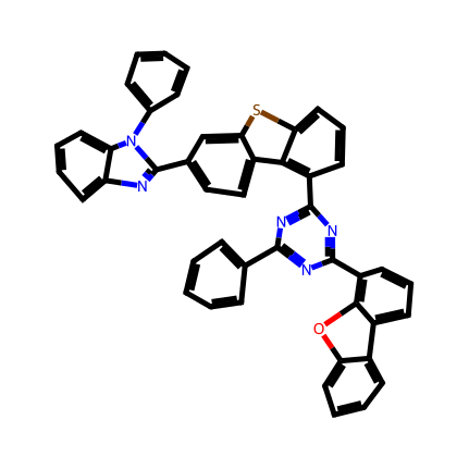 c1ccc(-c2nc(-c3cccc4c3oc3ccccc34)nc(-c3cccc4sc5cc(-c6nc7ccccc7n6-c6ccccc6)ccc5c34)n2)cc1